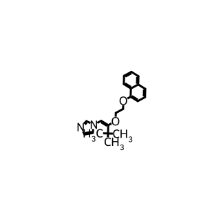 CC(C)(C)C(=Cn1ccnc1)OCCOc1cccc2ccccc12